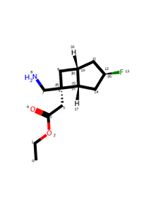 CCOC(=O)C[C@]1(CN)C[C@@H]2C[C@@H](F)C[C@@H]21